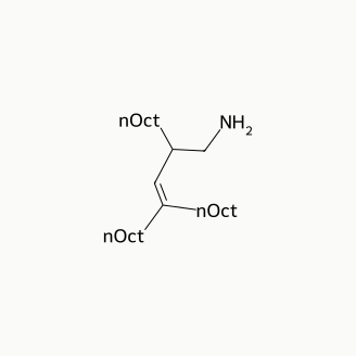 CCCCCCCCC(=CC(CN)CCCCCCCC)CCCCCCCC